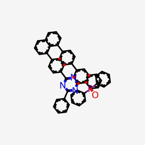 O=P(c1ccccc1)(c1ccccc1)c1ccc(-c2ccc(-c3cccc4cccc(-c5ccc(-c6nc(-c7ccccc7)nc(-c7ccccc7)n6)cc5)c34)cc2)cc1